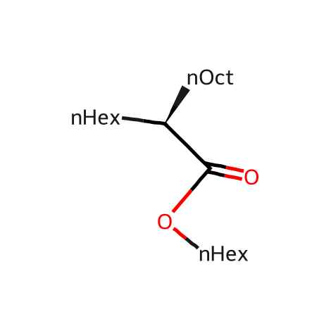 CCCCCCCC[C@H](CCCCCC)C(=O)OCCCCCC